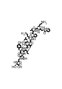 CC[C@H](C)[C@H](NC(=O)[C@H](CC(C)C)NC(=O)[C@H](CC(C)C)NC(=O)[C@H](CCCCN)NC(=O)[C@@H]1CCCN1C(=O)[C@@H](NC(=O)[C@H](CCCCN)NC(=O)CNC(=O)[C@@H]1CCCN1)C(C)C)C(=O)N[C@@H](Cc1ccc(O)cc1)C(=O)N[C@@H](CO)C(=O)NCC(=O)N[C@@H](CO)C(=O)O